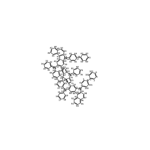 c1ccc(-c2ccc(-n3c4ccc(N(c5ccccc5)c5ccc6c(c5)C5(c7cc(N(c8ccccc8)c8ccc9c(c8)c8c%10ccccc%10ccc8n9-c8ccc(-c9ccccc9)cc8)ccc7-6)c6ccccc6N(c6ccccc6)c6ccccc65)cc4c4c5ccccc5ccc43)cc2)cc1